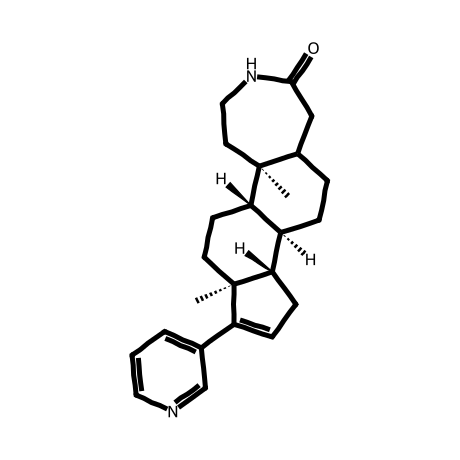 C[C@]12CCNC(=O)CC1CC[C@@H]1[C@@H]2CC[C@]2(C)C(c3cccnc3)=CC[C@@H]12